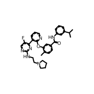 Cc1ccc(C(=O)Nc2cccc(C(C)C)c2)cc1Oc1ncccc1-c1nc(NCCN2CCCC2)ncc1F